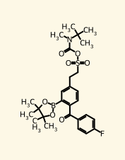 CN(C(=O)OS(=O)(=O)CCc1ccc(C(=O)c2ccc(F)cc2)c(B2OC(C)(C)C(C)(C)O2)c1)C(C)(C)C